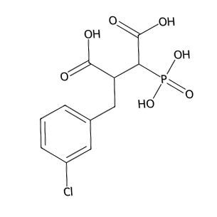 O=C(O)C(Cc1cccc(Cl)c1)C(C(=O)O)P(=O)(O)O